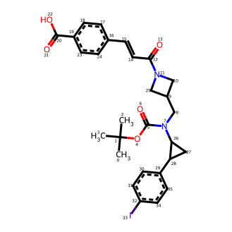 CC(C)(C)OC(=O)N(CC1CN(C(=O)C=Cc2ccc(C(=O)O)cc2)C1)C1CC1c1ccc(I)cc1